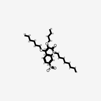 CCCCCCCCn1c(=O)c(OCCCC)c(OCCCCCC)c2ccc([N+](=O)[O-])cc21